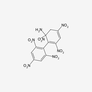 NC1([N+](=O)[O-])CC([N+](=O)[O-])=CC([N+](=O)[O-])=C1c1c([N+](=O)[O-])cc([N+](=O)[O-])cc1[N+](=O)[O-]